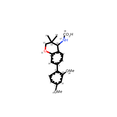 COc1ccc(-c2ccc3c(c2)OCC(C)(C)C3NC(=O)O)c(OC)c1